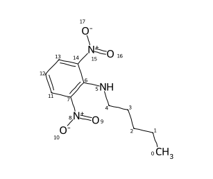 CCCCCNc1c([N+](=O)[O-])cccc1[N+](=O)[O-]